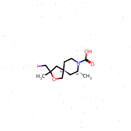 C[C@@H]1C[C@@]2(CCN1C(=O)O)COC(C)(CI)C2